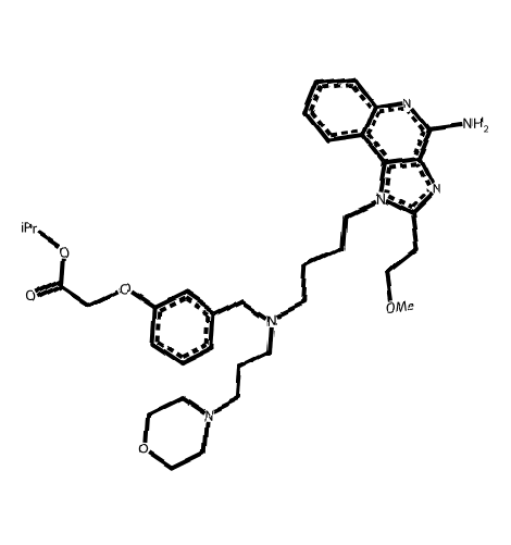 COCCc1nc2c(N)nc3ccccc3c2n1CCCCN(CCCN1CCOCC1)Cc1cccc(OCC(=O)OC(C)C)c1